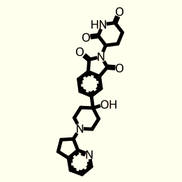 O=C1CCC(N2C(=O)c3ccc(C4(O)CCN(C5CCc6cccnc65)CC4)cc3C2=O)C(=O)N1